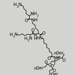 CCCCCCCCCCCC(=O)OCC(COC(=O)CCCCCCCCCCC)(COC(=O)CCCCCCCCCCC)NC(=O)CCCCCCCNC(=O)C(CCCCNC(=O)C(N)CCCCN)NC(=O)C(N)CCCCN